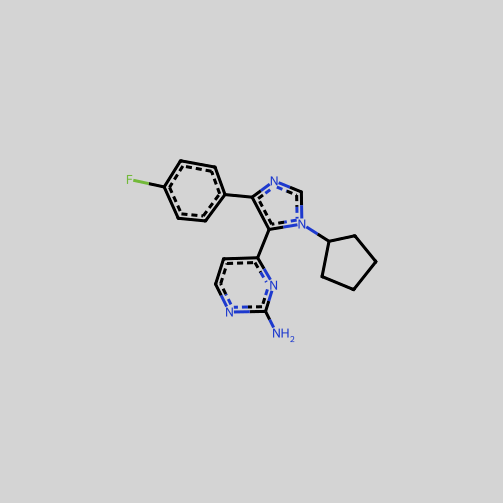 Nc1nccc(-c2c(-c3ccc(F)cc3)ncn2C2CCCC2)n1